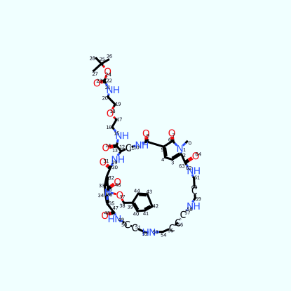 Cn1c2ccc(c1=O)C(=O)NCC(C(=O)NCCOCCNC(=O)OC(C)(C)C)NC(=O)c1ccc(n(OCc3ccccc3)c1=O)C(=O)NCCCNCCCCNCCCNC2=O